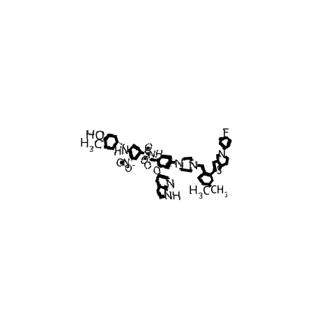 CC1(C)CCC(CN2CCN(c3ccc(C(=O)NS(=O)(=O)c4ccc(NC[C@H]5CC[C@](C)(O)CC5)c([N+](=O)[O-])c4)c(Oc4cnc5[nH]ccc5c4)c3)CC2)=C(c2cc3c(s2)CCN(c2ccc(F)cc2)C3)C1